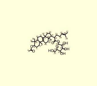 CC(=O)OC1CCC2(C)C3=C(CCC2C1(C)C)C1(C)CCC(C(CCC=C(C)C)C(=O)OC2OC(CO)C(O)C(O)C2O)C1(C)CC3